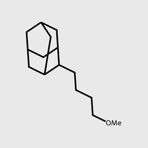 COCCCCC1C2CC3CC(C2)CC1C3